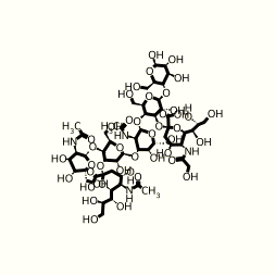 CC(=O)N[C@H]1[C@H](O[C@@H]2[C@H](O[C@]3(C(=O)O)C[C@H](O)[C@@H](NC(C)=O)[C@H]([C@H](O)[C@H](O)CO)O3)[C@@H](O)[C@H](O[C@H]3[C@@H](O)[C@@H](CO)O[C@@H](O[C@@H]4[C@H](O[C@]5(C(=O)O)C[C@H](O)[C@@H](NC(=O)CO)[C@H]([C@H](O)[C@H](O)CO)O5)[C@@H](O)[C@H](O[C@H]5[C@H](O)[C@@H](O)[C@H](O)O[C@@H]5CO)O[C@@H]4CO)[C@@H]3NC(C)=O)O[C@@H]2CO)O[C@H](CO)[C@H](O)[C@@H]1O